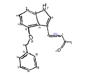 CC(=O)/C=C/c1c[nH]c2ncnc(OCc3ccccc3)c12